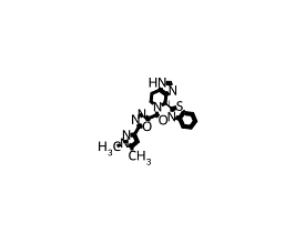 Cc1cc(-c2nnc(C(=O)N3CCc4[nH]cnc4[C@H]3c3nc4ccccc4s3)o2)nn1C